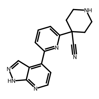 N#CC1(c2cccc(-c3ccnc4[nH]ncc34)n2)CCNCC1